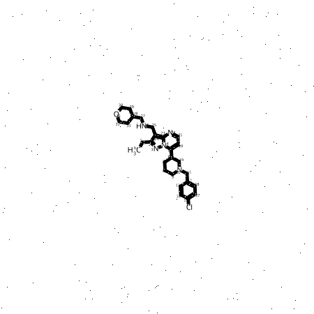 CCc1nn2c(C3CCCN(Cc4ccc(Cl)cc4)C3)ccnc2c1CNCC1CCOCC1